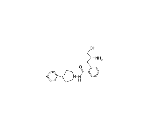 N[C@@H](CO)Cc1ccccc1C(=O)NN1CCN(c2ccccc2)CC1